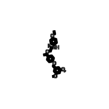 CCOc1ccc2[nH]c(COC(C)c3ccc(OCc4cc(OC)cc(OC)c4)cc3)nc2c1